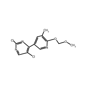 COCOc1ncc(-c2nc(Cl)ncc2Cl)cc1C